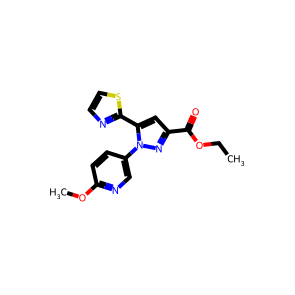 CCOC(=O)c1cc(-c2nccs2)n(-c2ccc(OC)nc2)n1